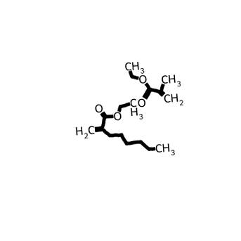 C=C(C)C(=O)OCC.C=C(CCCCCC)C(=O)OCC